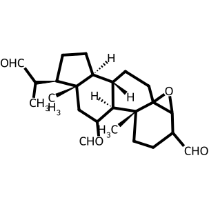 CC(C=O)[C@H]1CC[C@H]2[C@@H]3CCC45OC4C(C=O)CC[C@]5(C)[C@H]3C(C=O)C[C@]12C